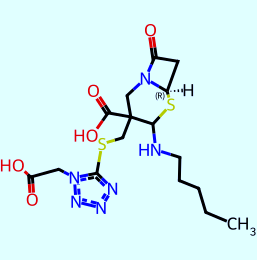 CCCCCNC1S[C@@H]2CC(=O)N2CC1(CSc1nnnn1CC(=O)O)C(=O)O